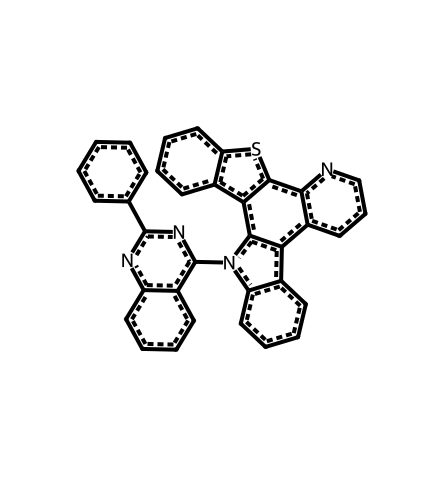 c1ccc(-c2nc(-n3c4ccccc4c4c5cccnc5c5sc6ccccc6c5c43)c3ccccc3n2)cc1